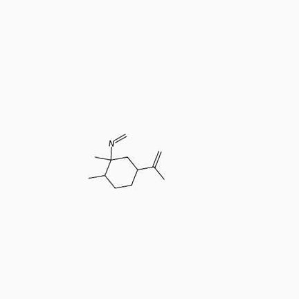 C=NC1(C)CC(C(=C)C)CCC1C